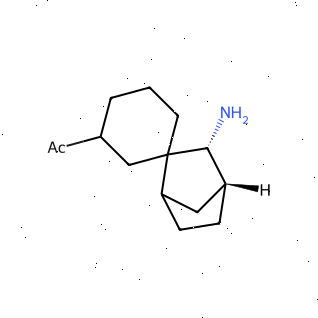 CC(=O)C1CCCC2(C1)C1CC[C@H](C1)[C@H]2N